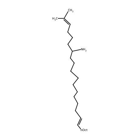 CCCCCCCCC=CCCCCCCCCCC(N)CCCC=C(C)C